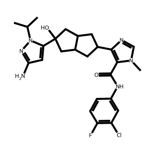 CC(C)n1nc(N)cc1C1(O)CC2CC(c3ncn(C)c3C(=O)Nc3ccc(F)c(Cl)c3)CC2C1